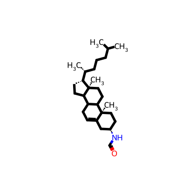 CC(C)CCC[C@@H](C)[C@H]1CCC2C3CC=C4C[C@@H](NC=O)CC[C@]4(C)C3CC[C@@]21C